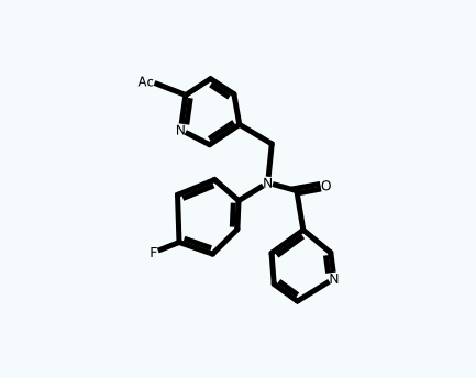 CC(=O)c1ccc(CN(C(=O)c2cccnc2)c2ccc(F)cc2)cn1